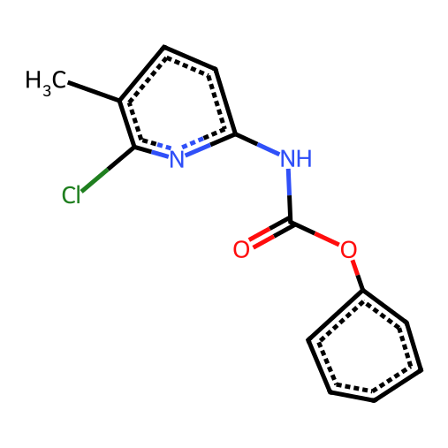 Cc1ccc(NC(=O)Oc2ccccc2)nc1Cl